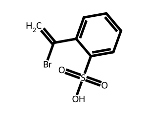 C=C(Br)c1ccccc1S(=O)(=O)O